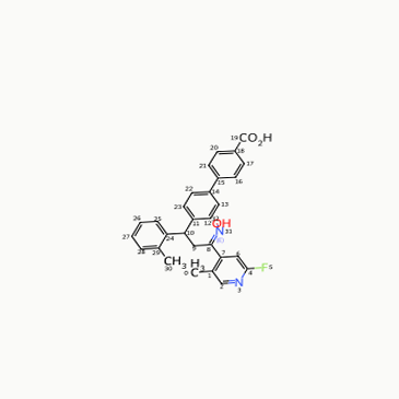 Cc1cnc(F)cc1/C(CC(c1ccc(-c2ccc(C(=O)O)cc2)cc1)c1ccccc1C)=N/O